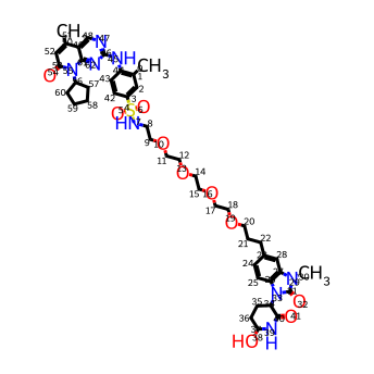 Cc1cc(S(=O)(=O)NCCOCCOCCOCCOCCCc2ccc3c(c2)n(C)c(=O)n3C2CCC(O)NC2=O)ccc1Nc1ncc2c(C)cc(=O)n(C3CCCC3)c2n1